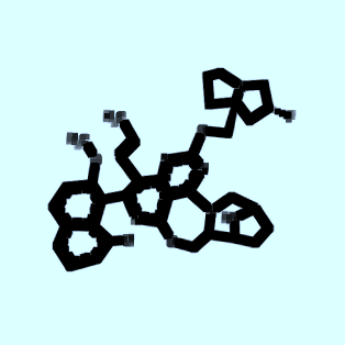 C/C=C/c1c(-c2c(OC)ccc3cccc(Cl)c23)nc2c3c(nc(OC[C@@]45CCCN4C[C@H](F)C5)nc13)N1CC3CCC(N3)C1CO2